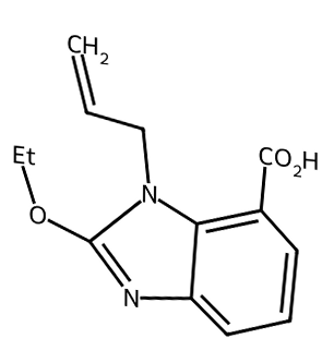 C=CCn1c(OCC)nc2cccc(C(=O)O)c21